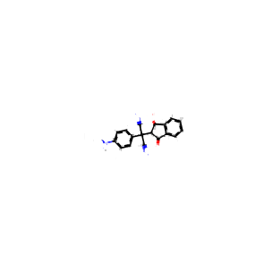 CN(C)c1ccc(C(C#N)(C#N)C2C(=O)c3ccccc3C2=O)cc1